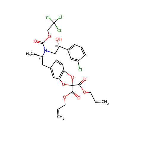 C=CCOC(=O)C1(C(=O)OCC=C)Oc2ccc(C[C@@H](C)N(C[C@H](O)c3cccc(Cl)c3)C(=O)OCC(Cl)(Cl)Cl)cc2O1